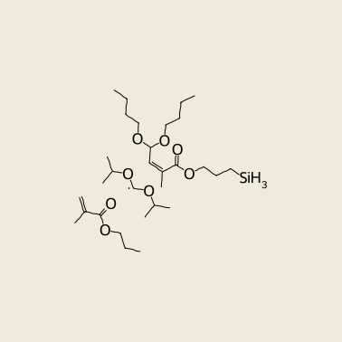 C=C(C)C(=O)OCCC.CC(C)O[CH]OC(C)C.CCCCOC(C=C(C)C(=O)OCCC[SiH3])OCCCC